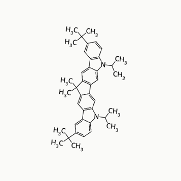 CC(C)n1c2ccc(C(C)(C)C)cc2c2cc3c(cc21)-c1cc2c(cc1C3(C)C)c1cc(C(C)(C)C)ccc1n2C(C)C